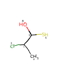 CC(Cl)C(O)S